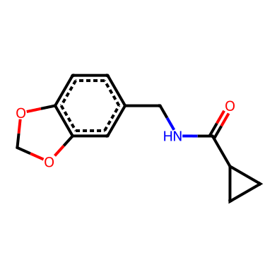 O=C(NCc1ccc2c(c1)OCO2)C1CC1